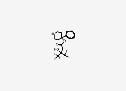 O=C(CC(O)(C(F)(F)F)C(F)(F)F)OC1(c2ccccc2)CCNCC1